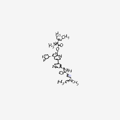 CC[C@H](C)[C@H](N)C(=O)OCn1cc(-c2ccnc(F)c2)c2cc(-c3cncc(NC(=O)/C=C/CN(C)C)c3)cnc21